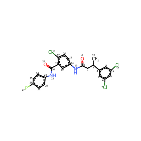 O=C(CC(c1cc(Cl)cc(Cl)c1)C(F)(F)F)Nc1ccc(Cl)c(C(=O)Nc2ccc(F)cc2)c1